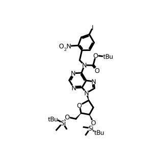 CC(C)(C)OC(=O)N(Cc1ccc(I)cc1[N+](=O)[O-])c1ncnc2c1ncn2[C@H]1C[C@@H](O[Si](C)(C)C(C)(C)C)[C@@H](CO[Si](C)(C)C(C)(C)C)O1